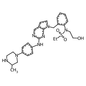 CCS(=O)(=O)N(CCO)c1ccccc1Cn1ccc2cnc(Nc3ccc(N4CCNC(C)C4)cc3)nc21